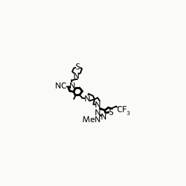 CNc1nc(N2CCC3(CCN(Cc4ccc5c(cc(C#N)n5CCN5CCSCC5)c4C)C3)C2)c2cc(CC(F)(F)F)sc2n1